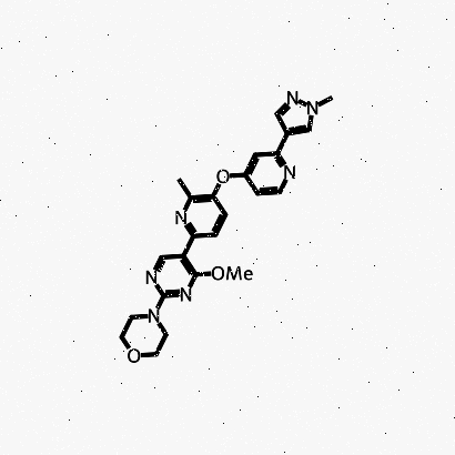 COc1nc(N2CCOCC2)ncc1-c1ccc(Oc2ccnc(-c3cnn(C)c3)c2)c(C)n1